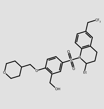 CCC1CCc2cc(CC(F)(F)F)ccc2N1S(=O)(=O)c1ccc(OCC2CCOCC2)c(CO)c1